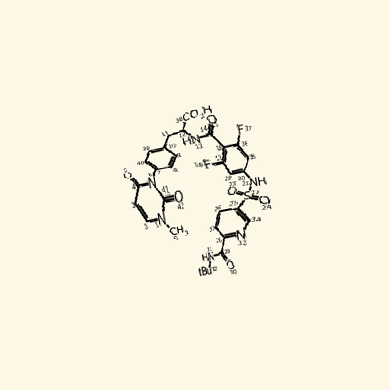 Cn1ccc(=O)n(-c2ccc(C[C@H](NC(=O)c3c(F)cc(NS(=O)(=O)c4ccc(C(=O)NC(C)(C)C)nc4)cc3F)C(=O)O)cc2)c1=O